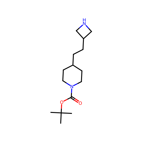 CC(C)(C)OC(=O)N1CCC(CCC2CNC2)CC1